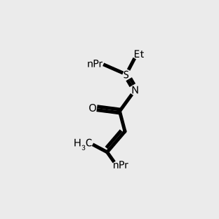 CCC/C(C)=C/C(=O)/N=S(/CC)CCC